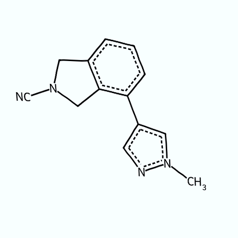 Cn1cc(-c2cccc3c2CN(C#N)C3)cn1